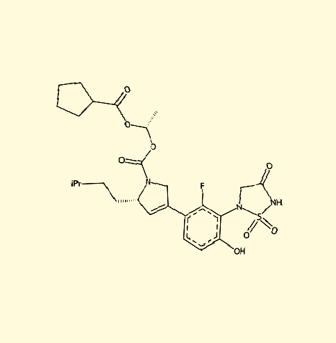 CC(C)CC[C@H]1C=C(c2ccc(O)c(N3CC(=O)NS3(=O)=O)c2F)CN1C(=O)O[C@@H](C)OC(=O)C1CCCC1